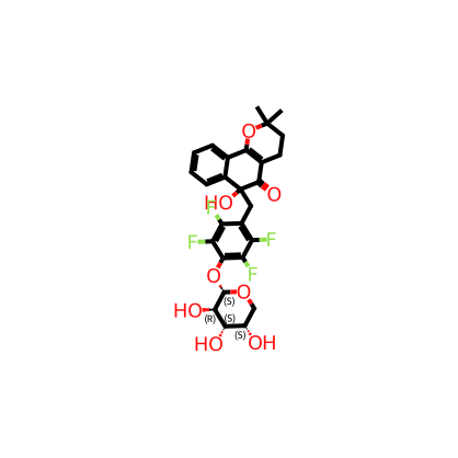 CC1(C)CCC2=C(O1)c1ccccc1C(O)(Cc1c(F)c(F)c(O[C@@H]3OC[C@H](O)[C@H](O)[C@H]3O)c(F)c1F)C2=O